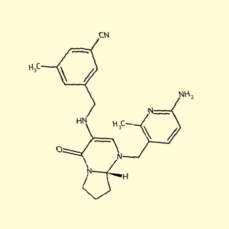 Cc1cc(C#N)cc(CNC2=CN(Cc3ccc(N)nc3C)[C@@H]3CCCN3C2=O)c1